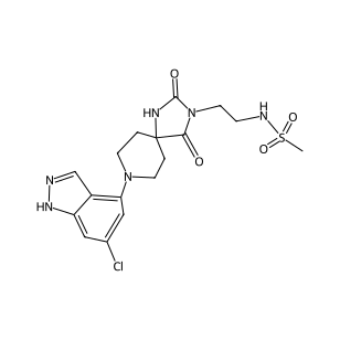 CS(=O)(=O)NCCN1C(=O)NC2(CCN(c3cc(Cl)cc4[nH]ncc34)CC2)C1=O